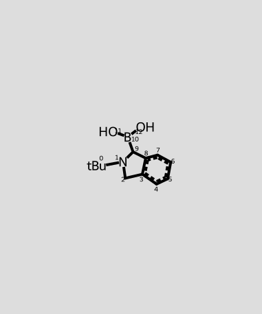 CC(C)(C)N1Cc2ccccc2C1B(O)O